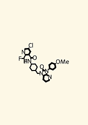 COc1ccc(-n2c(=O)n(CC3CCC(NC(=O)c4cc(Cl)cnc4C(F)F)CC3)c3cccnc32)cc1